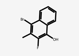 Cc1c(F)c(O)c2ccccc2c1Br